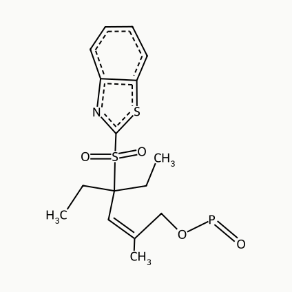 CCC(C=C(C)COP=O)(CC)S(=O)(=O)c1nc2ccccc2s1